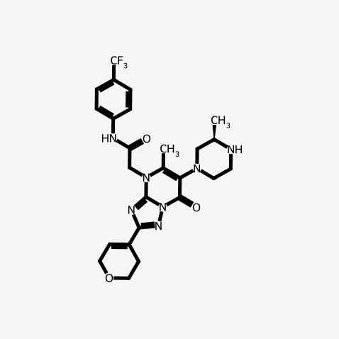 Cc1c(N2CCN[C@H](C)C2)c(=O)n2nc(C3=CCOCC3)nc2n1CC(=O)Nc1ccc(C(F)(F)F)cc1